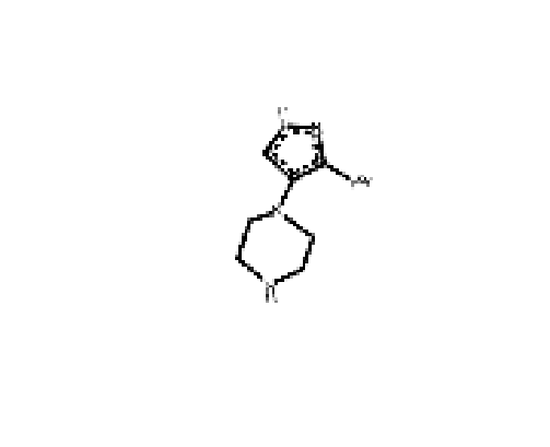 CCCc1n[nH]cc1N1CCNCC1